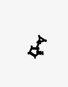 c1c[nH]c(N2CC2)c1